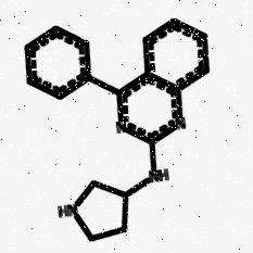 c1ccc(-c2nc(NC3CCNC3)nc3ccccc23)cc1